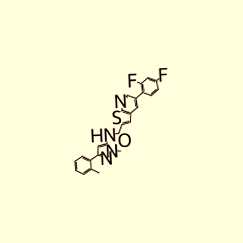 Cc1ccccc1-c1cc(NC(=O)c2cc3cc(-c4ccc(F)cc4F)cnc3s2)n(C)n1